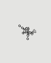 Cc1cc(-c2ccccc2)ccc1N1c2cc3oc4cc5c(cc4c3cc2Bc2c(-c3c(Nc4ccc(-c6ccccc6)cc4)ccc4ccccc34)cc(-c3ccccc3)cc21)C(C)(C)CCC5(C)C